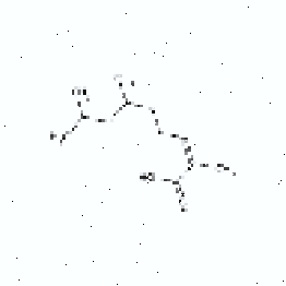 CC(=CCCC(C)CC(C)C)C(=O)O